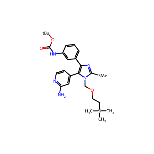 CSc1nc(-c2cccc(NC(=O)OC(C)(C)C)c2)c(-c2ccnc(N)c2)n1COCC[Si](C)(C)C